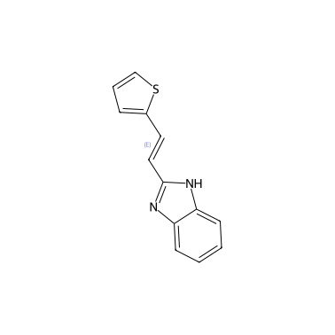 C(=C\c1cccs1)/c1nc2ccccc2[nH]1